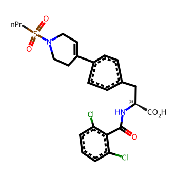 CCCS(=O)(=O)N1CC=C(c2ccc(C[C@H](NC(=O)c3c(Cl)cccc3Cl)C(=O)O)cc2)CC1